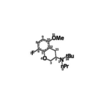 CCCN(C1COc2c(F)ccc(OC)c2C1)C(C)(C)C